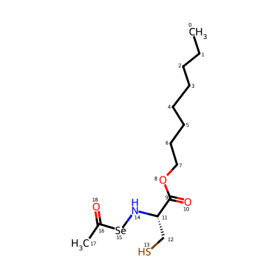 CCCCCCCCOC(=O)[C@H](CS)N[Se]C(C)=O